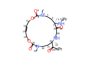 CC(C)N[C@]1(C)CCN(C)C(=O)OCC=CCOC(=O)N(C)CC[C@](C)(C(=O)C(C)C)NCC1=O